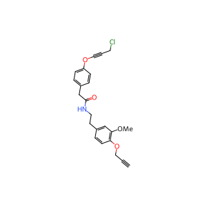 C#CCOc1ccc(CCNC(=O)Cc2ccc(OC#CCCl)cc2)cc1OC